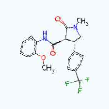 COc1ccccc1NC(=O)[C@H]1C(=O)N(C)C[C@@H]1c1ccc(C(F)(F)F)cc1